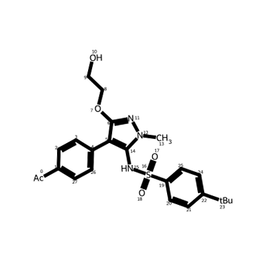 CC(=O)c1ccc(-c2c(OCCO)nn(C)c2NS(=O)(=O)c2ccc(C(C)(C)C)cc2)cc1